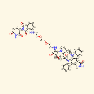 CO[C@@H]1[C@H](N(C)c2c(NCCOCCOCCNc3cccc4c3C(=O)N(C3CCC(=O)NC3=O)C4=O)c(=O)c2=O)C[C@H]2O[C@]1(C)n1c3ccccc3c3c4c(c5c6ccccc6n2c5c31)C(=O)NC4